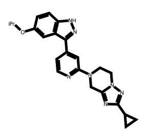 CC(C)Oc1ccc2[nH]nc(-c3ccnc(N4CCn5nc(C6CC6)nc5C4)c3)c2c1